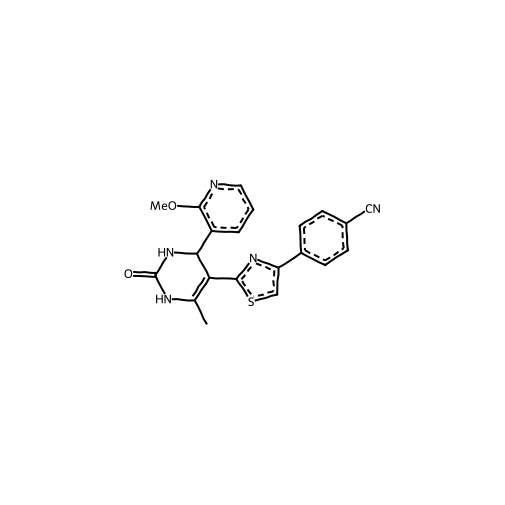 COc1ncccc1C1NC(=O)NC(C)=C1c1nc(-c2ccc(C#N)cc2)cs1